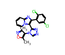 Cc1noc(C)c1-n1cnnc1-c1c(-c2cc(Cl)ccc2Cl)nc2ccccn12